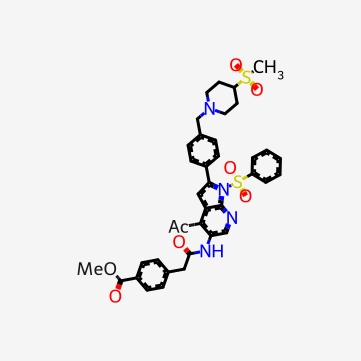 COC(=O)c1ccc(CC(=O)Nc2cnc3c(cc(-c4ccc(CN5CCC(S(C)(=O)=O)CC5)cc4)n3S(=O)(=O)c3ccccc3)c2C(C)=O)cc1